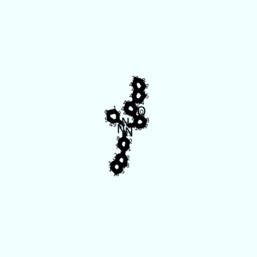 C1=CCC(c2nc(-c3ccc(-c4ccc5ccccc5c4)cc3)nc(-c3cccc4oc5c(-c6ccc7ccccc7c6)cccc5c34)n2)C=C1